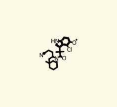 COc1ccc2[nH]cc(C(C)(C)C(=O)N3C(CCC#N)CC4(C)CCCC3C4)c2c1Cl